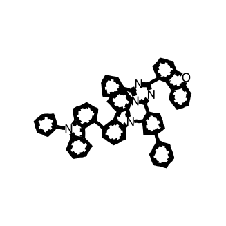 c1ccc(-c2ccc(-c3nc(-c4ccccc4)nc(-c4cccc5oc6ccccc6c45)n3)c(-n3c4ccccc4c4c(-c5cccc6c5c5ccccc5n6-c5ccccc5)cccc43)c2)cc1